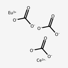 O=C([O-])[O-].O=C([O-])[O-].O=C([O-])[O-].[Ce+3].[Eu+3]